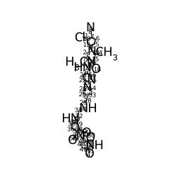 C[C@@H]1CN(c2ccc(C#N)c(Cl)c2)[C@@H](C)CN1C(=O)Nc1ccc(N2CCC(CCNCCNc3ccc4c(c3)C(=O)N(C3CCC(=O)NC3=O)C4=O)CC2)nc1